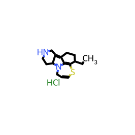 CCC1CCC2=C3CNCCC3N3CC=CSC1=C23.Cl